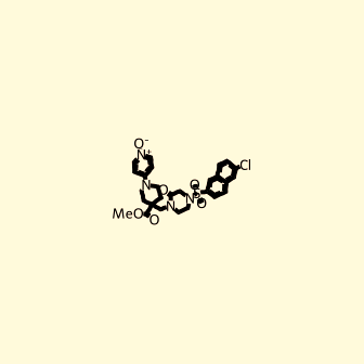 COC(=O)C1(CN2CCN(S(=O)(=O)c3ccc4cc(Cl)ccc4c3)CC2=O)CCN(c2cc[n+]([O-])cc2)CC1